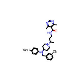 CC(=O)Oc1ccc(N(Cc2cccc(C#N)c2)C2CCN(C(C)CCNC(=O)c3c(C)ncnc3C)CC2)cc1